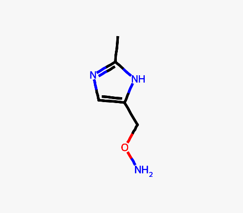 Cc1ncc(CON)[nH]1